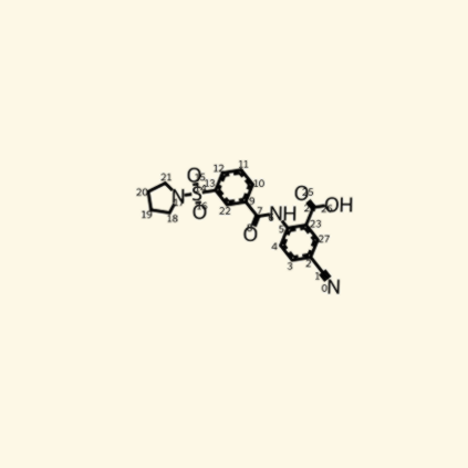 N#Cc1ccc(NC(=O)c2cccc(S(=O)(=O)N3CCCC3)c2)c(C(=O)O)c1